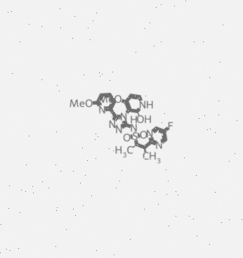 COC1=C(n2c(NS(=O)(=O)[C@@H](C)[C@H](C)c3ncc(F)cn3)nnc2-c2cccc(OC)n2)[C@@H](O)NC=C1